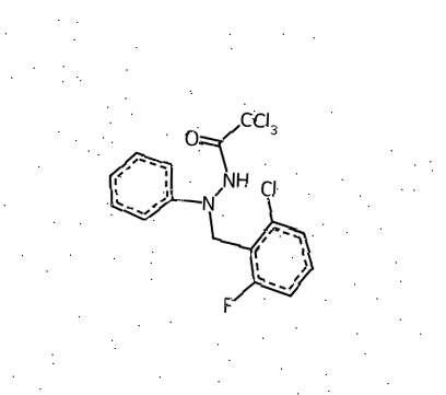 O=C(NN(Cc1c(F)cccc1Cl)c1ccccc1)C(Cl)(Cl)Cl